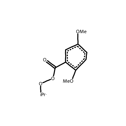 COc1ccc(OC)c(C(=O)OO[C](C)C)c1